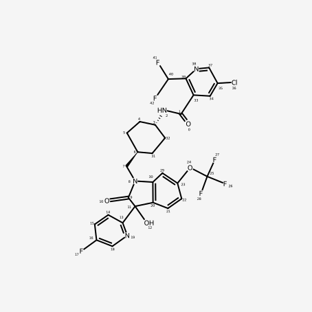 O=C(N[C@H]1CC[C@H](CN2C(=O)C(O)(c3ccc(F)cn3)c3ccc(OC(F)(F)F)cc32)CC1)c1cc(Cl)cnc1C(F)F